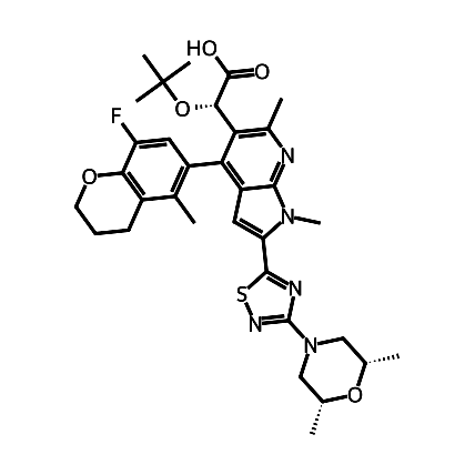 Cc1nc2c(cc(-c3nc(N4C[C@@H](C)O[C@@H](C)C4)ns3)n2C)c(-c2cc(F)c3c(c2C)CCCO3)c1[C@H](OC(C)(C)C)C(=O)O